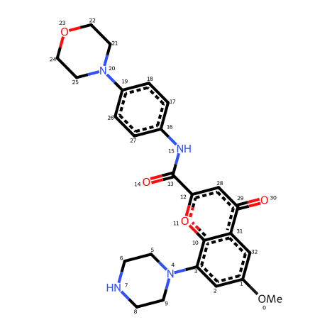 COc1cc(N2CCNCC2)c2oc(C(=O)Nc3ccc(N4CCOCC4)cc3)cc(=O)c2c1